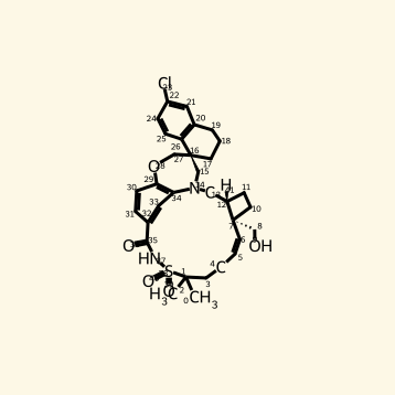 CC1(C)CC/C=C\[C@]2(CO)CC[C@H]2CN2C[C@@]3(CCCc4cc(Cl)ccc43)COc3ccc(cc32)C(=O)NS1(=O)=O